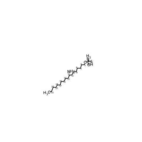 BP(O)(=S)OCCCCCCCCCCCCCCCCCC.N